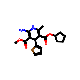 COC(=O)C1=C(N)NC(C)=C(C(=O)OC2CCCC2)C1c1cccs1